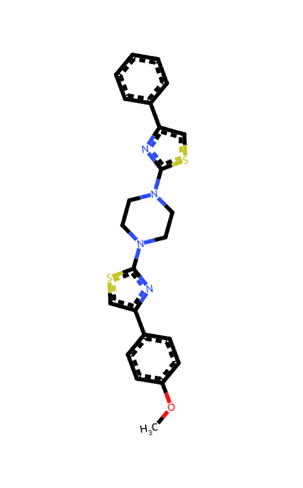 COc1ccc(-c2csc(N3CCN(c4nc(-c5ccccc5)cs4)CC3)n2)cc1